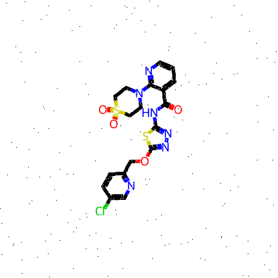 O=C(Nc1nnc(OCc2ccc(Cl)cn2)s1)c1cccnc1N1CCS(=O)(=O)CC1